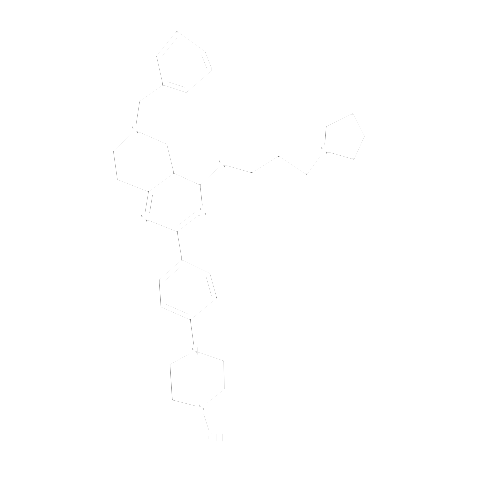 CN1CCN(c2ccc(C3=NC(NCCCN4CCCC4)C4CN(Cc5ccccc5)CCC4=N3)cc2)CC1